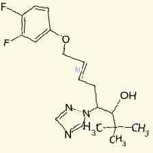 CC(C)(C)C(O)C(C/C=C/COc1ccc(F)c(F)c1)n1cncn1